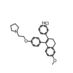 COc1ccc2c(c1)CCC(c1ccccc1)=C2c1ccc(OCCN2CCCC2)cc1.Cl